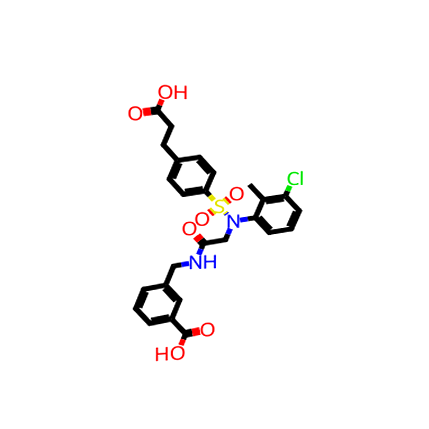 Cc1c(Cl)cccc1N(CC(=O)NCc1cccc(C(=O)O)c1)S(=O)(=O)c1ccc(CCC(=O)O)cc1